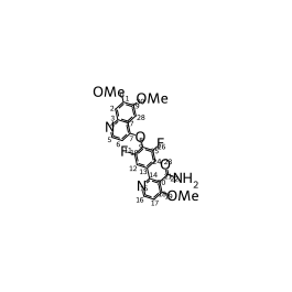 COc1cc2nccc(Oc3c(F)cc(-c4nccc(OC)c4C(N)=O)cc3F)c2cc1OC